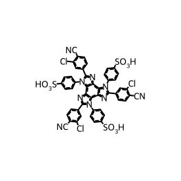 N#Cc1ccc(-c2nc3c(c4nc(-c5ccc(C#N)c(Cl)c5)n(-c5ccc(S(=O)(=O)O)cc5)c4c4nc(-c5ccc(C#N)c(Cl)c5)n(-c5ccc(S(=O)(=O)O)cc5)c34)n2-c2ccc(S(=O)(=O)O)cc2)cc1Cl